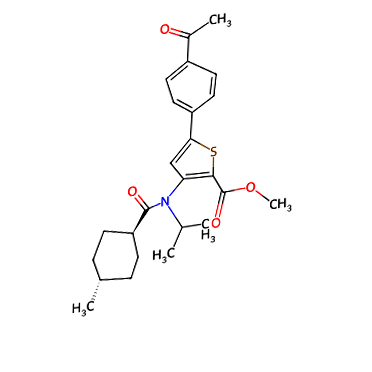 COC(=O)c1sc(-c2ccc(C(C)=O)cc2)cc1N(C(=O)[C@H]1CC[C@H](C)CC1)C(C)C